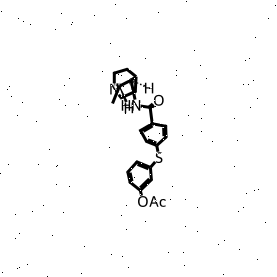 CC(=O)Oc1cccc(Sc2ccc(C(=O)N[C@@H]3C4CCN(CC4)[C@H]3C)cc2)c1